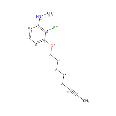 CC#CCCCCCOc1cccc(NC)c1F